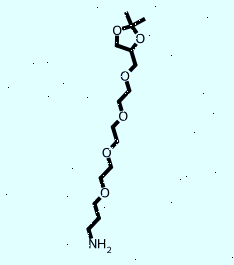 CC1(C)OCC(COCCOCCOCCOCCCN)O1